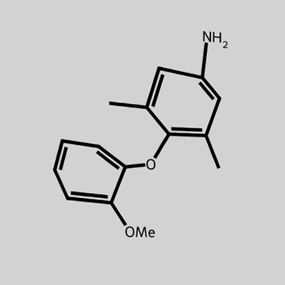 COc1ccccc1Oc1c(C)cc(N)cc1C